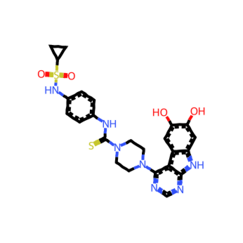 O=S(=O)(Nc1ccc(NC(=S)N2CCN(c3ncnc4[nH]c5cc(O)c(O)cc5c34)CC2)cc1)C1CC1